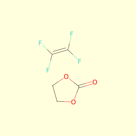 FC(F)=C(F)F.O=C1OCCO1